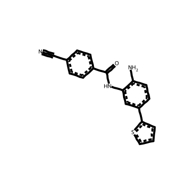 N#Cc1ccc(C(=O)Nc2cc(-c3cccs3)ccc2N)cc1